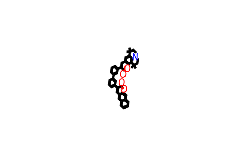 CC1(C)CCN2CCC(C)(C)c3c2c1cc1cc(-c2cccc(-c4cccc(-c5cc6cc7ccccc7cc6oc5=O)c4)c2)c(=O)oc31